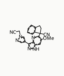 COc1cc2[nH]nc(-c3cnn(CC#N)c3)c2nc1C1(C#N)CCc2ccccc21